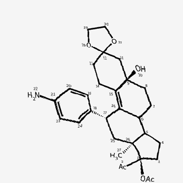 CC(=O)O[C@]1(C(C)=O)CCC2C3CC[C@@]4(O)CC5(CCC4=C3[C@@H](c3ccc(N)cc3)C[C@@]21C)OCCO5